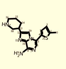 Cc1ccc(-c2cnc(N)c3nc(C4CCCNC4)cn23)s1